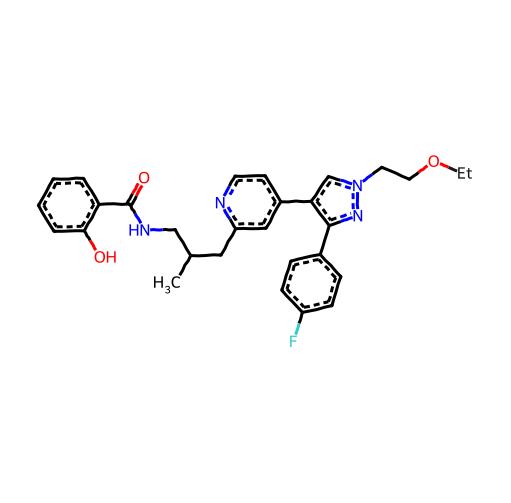 CCOCCn1cc(-c2ccnc(CC(C)CNC(=O)c3ccccc3O)c2)c(-c2ccc(F)cc2)n1